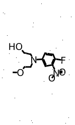 COCCN(CCO)c1ccc(F)c([N+](=O)[O-])c1